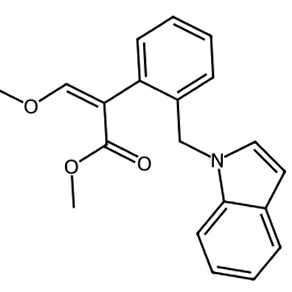 COC=C(C(=O)OC)c1ccccc1Cn1ccc2ccccc21